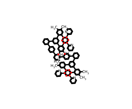 Cc1cc(-c2ccc(-c3ccccn3)cc2)c(-c2cc(-c3ccccc3-c3ccc(-c4ccnc(-c5ccc(-c6ccccc6-c6cc(-c7cc(C)c(C)cc7-c7ccc(-c8ccccn8)cc7)cc(-c7cc(C)c(C)cc7-c7ccc(-c8ccccn8)cc7)c6)cc5)n4)cc3)cc(-c3cc(C)c(C)cc3-c3ccc(-c4ccccn4)cc3)c2)cc1C